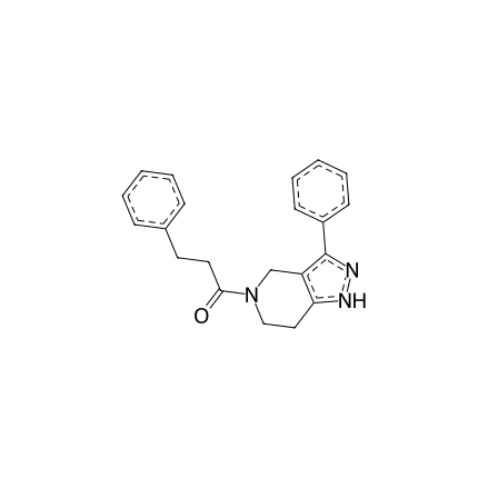 O=C(CCc1ccccc1)N1CCc2[nH]nc(-c3ccccc3)c2C1